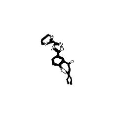 CCC1(CC)CC(=O)c2cc(-c3nc(-c4ncccn4)no3)ccc2O1